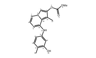 COC(=O)Oc1cn2ncnc(Nc3ccc(C)c(O)c3)c2c1C